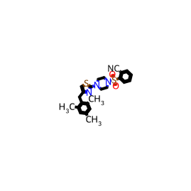 Cc1cc(C)c(Cc2csc(N3CCN(S(=O)(=O)c4ccccc4C#N)CC3)n2)c(C)c1